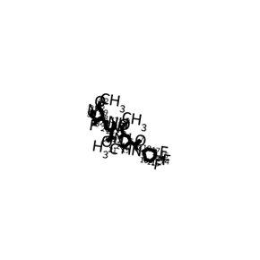 COCC1CC(C(=O)N[C@H]2CC[C@@H](C(F)(F)F)CC2)CC(C)N1C(=O)c1cc(-c2cc(OC)ncc2F)[nH]n1